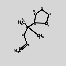 C=CCC(C)(C)C1OCCO1